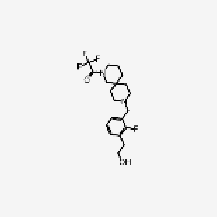 O=C(N1CCCC2(CCN(Cc3cccc(CCO)c3F)CC2)C1)C(F)(F)F